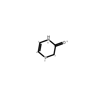 O=C1CSC=CN1